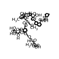 COCCN(CCOC12CC3(C)CC(C)(CC(Cn4ncc(-c5ccc(-c6ccc7cccc(C(=O)Nc8nc9ccccc9s8)c7c6)nc5C(=O)O)c4C)(C3)C1)C2)C(=O)OCc1ccc(OCCOCCNC(=O)[C@@H](N)CS(=O)(=O)O)cc1O[C@@H]1O[C@H](C(=O)O)[C@@H](O)[C@H](O)[C@H]1O